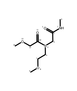 CNC(=O)CN(CCOC)C(=O)COC